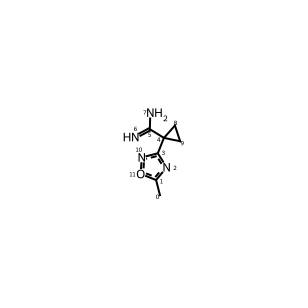 Cc1nc(C2(C(=N)N)CC2)no1